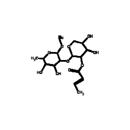 CC=CC(=O)OC1C(OC2C(OC(C)CC)OC(C)C(O)C2O)OCC(O)C1O